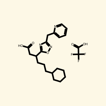 O=C(O)C(F)(F)F.O=C(O)CC(CCCC1CCCCC1)c1nc(Cc2ccccn2)no1